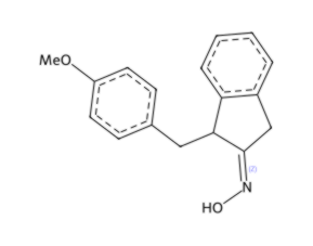 COc1ccc(CC2/C(=N\O)Cc3ccccc32)cc1